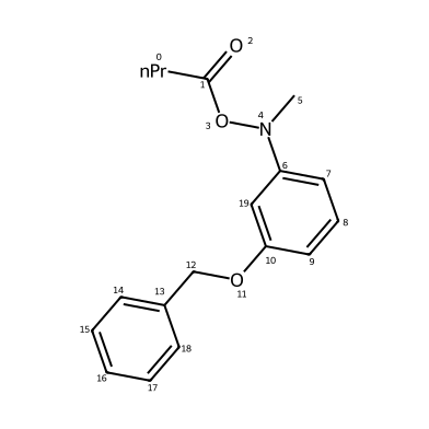 CCCC(=O)ON(C)c1cccc(OCc2ccccc2)c1